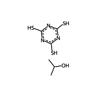 CC(C)O.Sc1nc(S)nc(S)n1